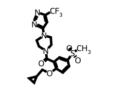 CS(=O)(=O)c1ccc(OCC2CC2)c(C(=O)N2CCN(c3cc(C(F)(F)F)ncn3)CC2)c1